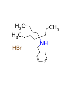 Br.CCCCC(CCC)(CCCC)NCc1ccccc1